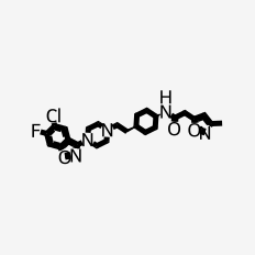 Cc1cc(CC(=O)N[C@H]2CC[C@H](CCN3CCN(c4noc5cc(F)c(Cl)cc45)CC3)CC2)on1